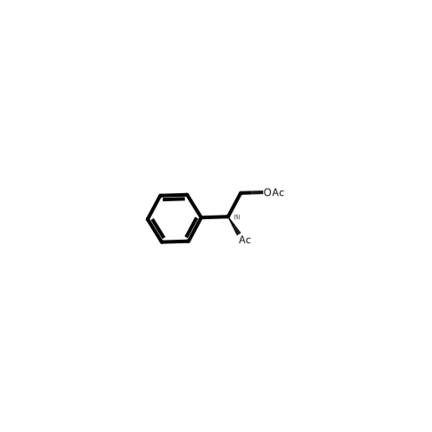 CC(=O)OC[C@@H](C(C)=O)c1ccccc1